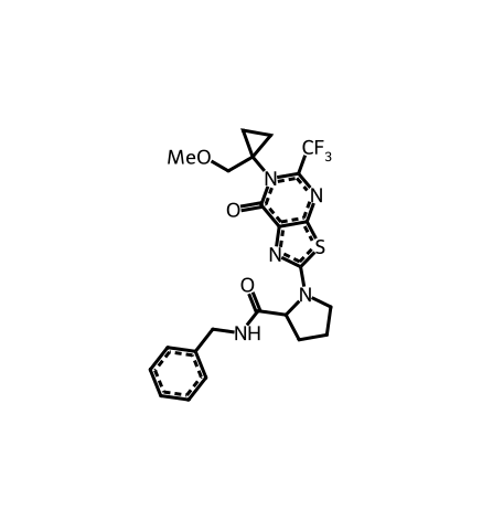 COCC1(n2c(C(F)(F)F)nc3sc(N4CCCC4C(=O)NCc4ccccc4)nc3c2=O)CC1